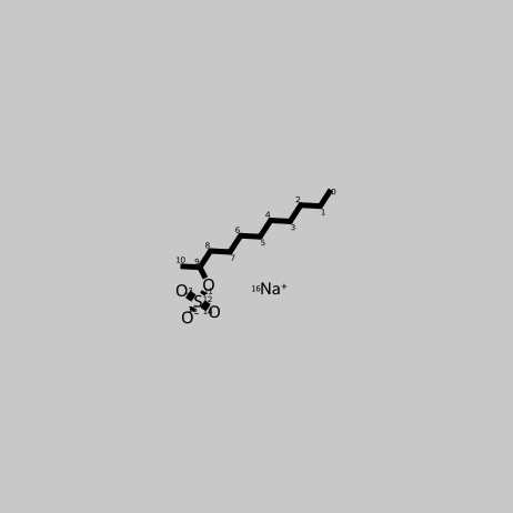 CCCCCCCCCC(C)OS(=O)(=O)[O-].[Na+]